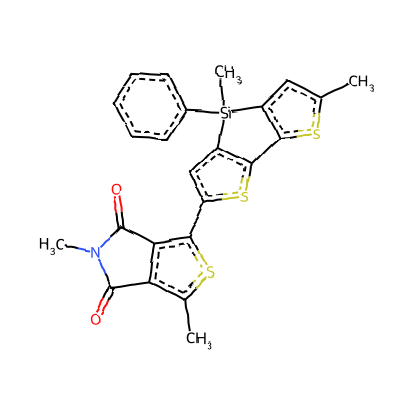 Cc1cc2c(s1)-c1sc(-c3sc(C)c4c3C(=O)N(C)C4=O)cc1[Si]2(C)c1ccccc1